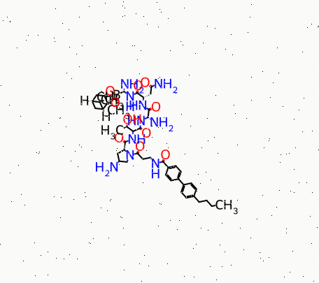 CCCCc1ccc(-c2ccc(C(=O)NCCC(=O)N3C[C@@H](N)C[C@H]3C(=O)N[C@H](C(=O)N[C@@H](N)C(=O)N[C@@H](CC(N)=O)C(=O)N[C@@H](N)B3OC4C[C@@H]5C[C@@H](C5(C)C)[C@]4(C)O3)[C@@H](C)O)cc2)cc1